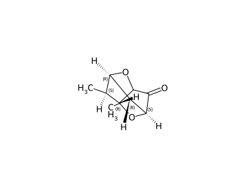 C[C@@H]1[C@@H]2OC3C(=O)[C@H]1O[C@@H]3[C@H]2C